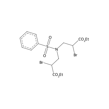 CCOC(=O)C(Br)CN(CC(Br)C(=O)OCC)S(=O)(=O)c1ccccc1